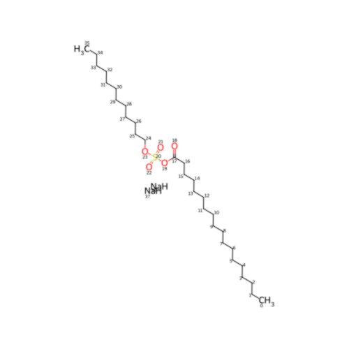 CCCCCCCCCCCCCCCCCC(=O)OS(=O)(=O)OCCCCCCCCCCCC.[NaH].[NaH]